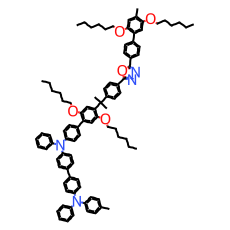 CCCCCCOc1cc(-c2ccc(-c3nnc(-c4ccc(C(C)(C)c5cc(OCCCCCC)c(-c6ccc(N(c7ccccc7)c7ccc(-c8ccc(N(c9ccccc9)c9ccc(C)cc9)cc8)cc7)cc6)cc5OCCCCCC)cc4)o3)cc2)c(OCCCCCC)cc1C